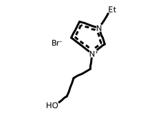 CCn1cc[n+](CCCO)c1.[Br-]